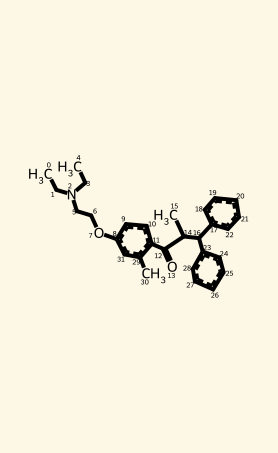 CCN(CC)CCOc1ccc(C(=O)C(C)C(c2ccccc2)c2ccccc2)c(C)c1